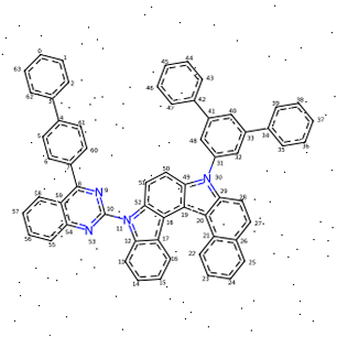 c1ccc(-c2ccc(-c3nc(-n4c5ccccc5c5c6c7c8ccccc8ccc7n(-c7cc(-c8ccccc8)cc(-c8ccccc8)c7)c6ccc54)nc4ccccc34)cc2)cc1